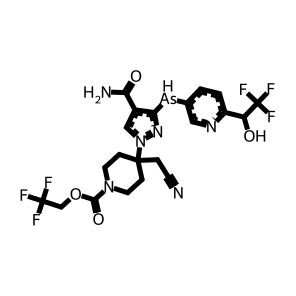 N#CCC1(n2cc(C(N)=O)c([AsH]c3ccc(C(O)C(F)(F)F)nc3)n2)CCN(C(=O)OCC(F)(F)F)CC1